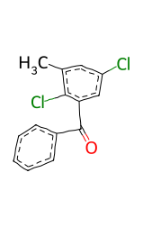 Cc1cc(Cl)cc(C(=O)c2ccccc2)c1Cl